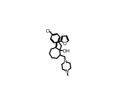 CN1CCN(CC2CCCCC(=Cc3ccco3)C2(O)Cc2ccc(Cl)cc2)CC1